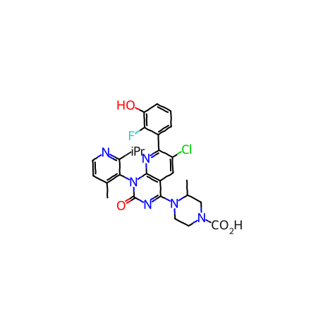 Cc1ccnc(C(C)C)c1-n1c(=O)nc(N2CCN(C(=O)O)CC2C)c2cc(Cl)c(-c3cccc(O)c3F)nc21